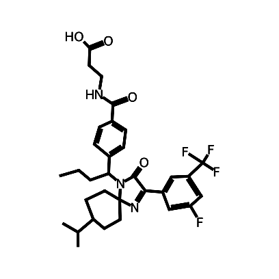 CCCC(c1ccc(C(=O)NCCC(=O)O)cc1)N1C(=O)C(c2cc(F)cc(C(F)(F)F)c2)=NC12CCC(C(C)C)CC2